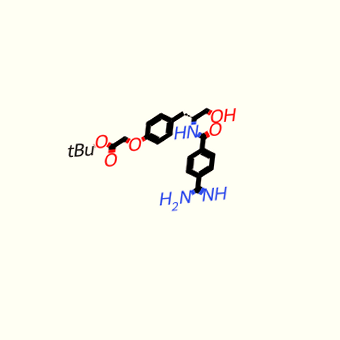 CC(C)(C)OC(=O)COc1ccc(C[C@H](CO)NC(=O)c2ccc(C(=N)N)cc2)cc1